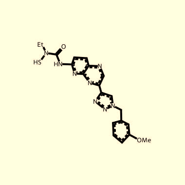 CCN(S)C(=O)Nc1ccc2ncc(-c3cn(Cc4cccc(OC)c4)nn3)nc2n1